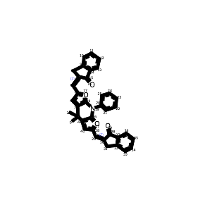 CC1(C)c2cc(/C=C3/Cc4ccccc4C3=O)oc2N(c2ccccc2)c2oc(/C=C3/Cc4ccccc4C3=O)cc21